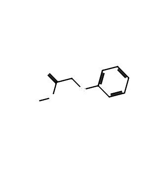 CCCCCCCOC(=O)CNc1ccccc1